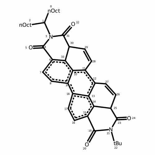 CCCCCCCCC(CCCCCCCC)N1C(=O)c2ccc3c4c(c5c6c7c(ccc63)C(=O)N(C(C)(C)C)C(=O)C7C=C5)C=CC(C1=O)c24